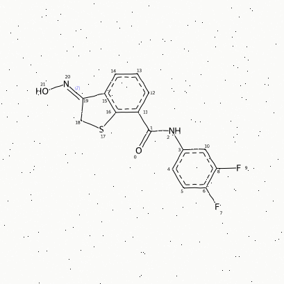 O=C(Nc1ccc(F)c(F)c1)c1cccc2c1SC/C2=N\O